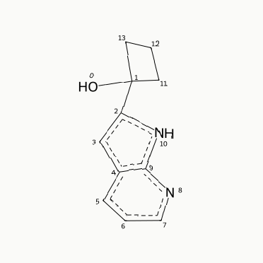 OC1(c2cc3cccnc3[nH]2)CCC1